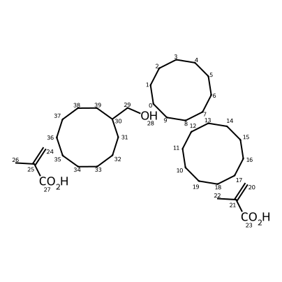 C1CCCCCCCCC1.C1CCCCCCCCC1.C=C(C)C(=O)O.C=C(C)C(=O)O.OCC1CCCCCCCCC1